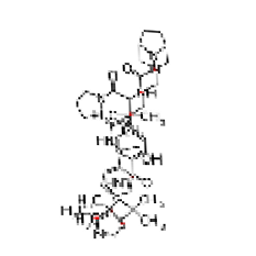 Cc1ncsc1-c1ccc([C@H](CO)NC(=O)[C@@H]2CCCN2C(=O)C(NC(=O)CN2C3CCC2CN(CCCCc2ccc(C(=O)NC4C(C)(C)CC4(C)C)cc2)C3)C(C)(C)C)cc1